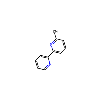 N#Cc1cccc(-c2ccccn2)n1